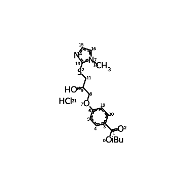 CC(C)COC(=O)c1ccc(OCC(O)CSc2nccn2C)cc1.Cl